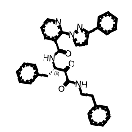 O=C(NCCc1ccccc1)C(=O)[C@H](Cc1ccccc1)NC(=O)c1cccnc1-n1ccc(-c2ccccc2)n1